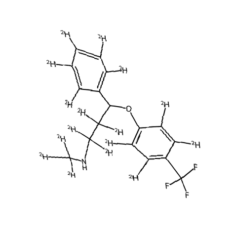 [2H]c1c([2H])c([2H])c(C(Oc2c([2H])c([2H])c(C(F)(F)F)c([2H])c2[2H])C([2H])([2H])C([2H])([2H])NC([2H])([2H])[2H])c([2H])c1[2H]